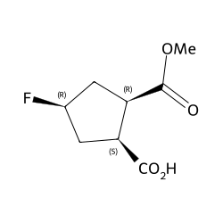 COC(=O)[C@@H]1C[C@H](F)C[C@@H]1C(=O)O